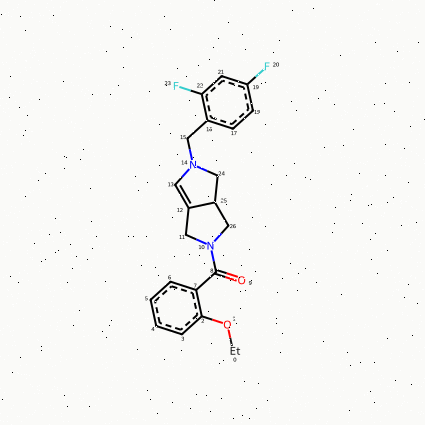 CCOc1ccccc1C(=O)N1CC2=CN(Cc3ccc(F)cc3F)CC2C1